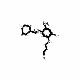 Nc1cc(Cl)c(OCCCCl)cc1NCC1CCOCC1